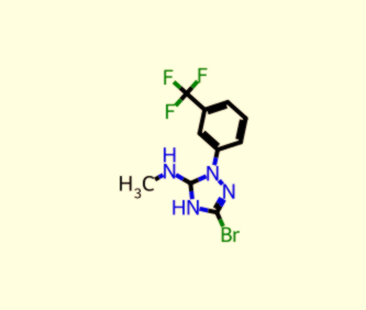 CNC1NC(Br)=NN1c1cccc(C(F)(F)F)c1